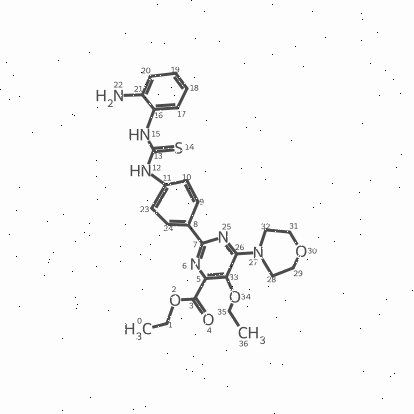 CCOC(=O)c1nc(-c2ccc(NC(=S)Nc3ccccc3N)cc2)nc(N2CCOCC2)c1OCC